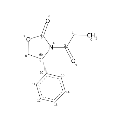 CCC(=O)N1C(=O)OC[C@H]1c1ccccc1